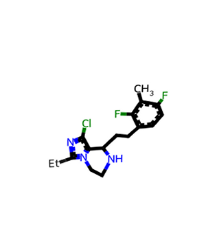 CCc1nc(Cl)c2n1CCNC2CCc1ccc(F)c(C)c1F